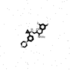 CC(=O)NC(Cc1cc(F)cc(F)c1)C(O)CNC1(c2cccc(N3CCSCC3)c2)CC1